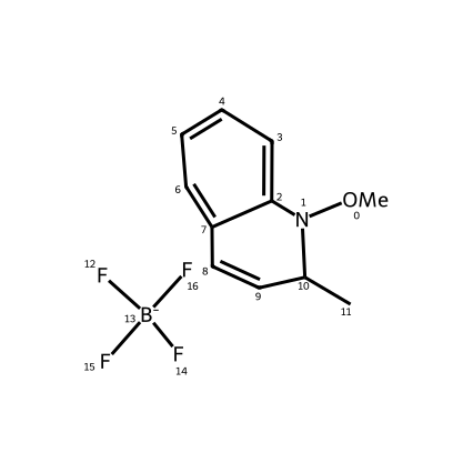 CON1c2ccccc2C=CC1C.F[B-](F)(F)F